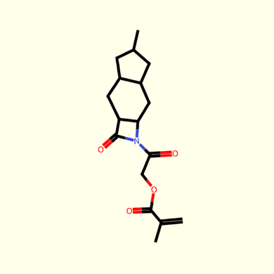 C=C(C)C(=O)OCC(=O)N1C(=O)C2CC3CC(C)CC3CC21